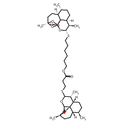 C[C@H]1[C@H](SCCCCCCOC(=O)CCSC2O[C@@H]3O[C@]4(C)CC[C@H]5[C@H](C)CC[C@@H]([C@H]2C)[C@@]35OO4)O[C@@H]2O[C@]3(C)CC[C@H]4[C@H](C)CC[C@@H]1[C@@]24OO3